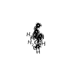 C=C(N[C@@H]1CNC(=O)C1)c1sc2nccc3c2c1NC(=O)N3c1ccc(Oc2ccccc2)cc1C